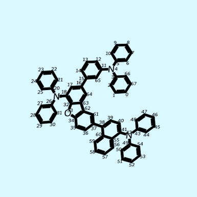 c1ccc(N(c2ccccc2)c2cccc(-c3cc(N(c4ccccc4)c4ccccc4)c4oc5ccc(-c6ccc(N(c7ccccc7)c7ccccc7)c7ccccc67)cc5c4c3)c2)cc1